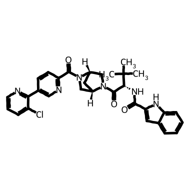 CC(C)(C)[C@H](NC(=O)c1cc2ccccc2[nH]1)C(=O)N1C[C@@H]2C[C@H]1CN2C(=O)c1ccc(-c2ncccc2Cl)cn1